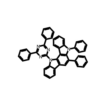 c1ccc(-c2nc(-c3ccccc3)nc(-n3c4ccccc4c4cc(-c5ccccc5)c5c(c6ccccc6n5-c5ccccc5)c43)n2)cc1